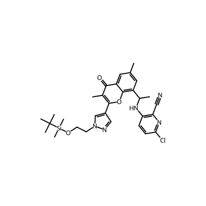 Cc1cc(C(C)Nc2ccc(Cl)nc2C#N)c2oc(-c3cnn(CCO[Si](C)(C)C(C)(C)C)c3)c(C)c(=O)c2c1